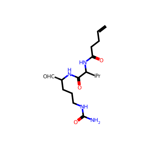 C=CCCC(=O)NC(C(=O)NC(C=O)CCCNC(N)=O)C(C)C